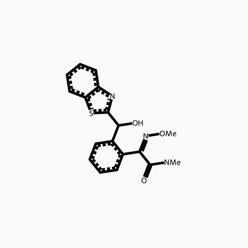 CNC(=O)C(=NOC)c1ccccc1C(O)c1nc2ccccc2s1